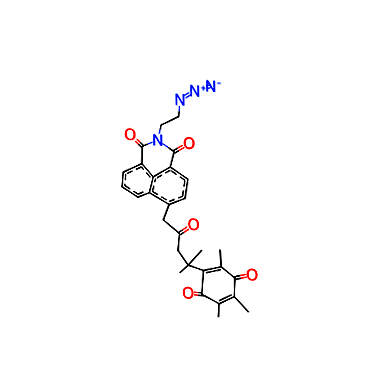 CC1=C(C)C(=O)C(C(C)(C)CC(=O)Cc2ccc3c4c(cccc24)C(=O)N(CCN=[N+]=[N-])C3=O)=C(C)C1=O